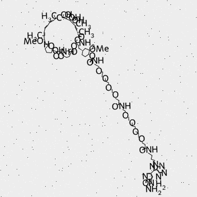 CO[C@H]1C[C@@H]2CCC[C@@](O)(O2)C(=O)C(=O)N2CCCC[C@H]2C(=O)O[C@H]([C@H](N)C[C@@H]2CC[C@@H](OC(=O)NCCOCCOCCOCCOCCC(=O)NCCOCCOCCOCCOCCC(=O)NCCCCn3nc(-c4cnc5oc(N)nc5c4)c4c(N)ncnc43)[C@H](OC)C2)CC(=O)[C@H](C)/C=C(\C)[C@@H](O)[C@@H](O)C(=O)[C@H](C)C[C@H](C)/C=C/C=C/C=C/1C